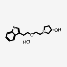 Cl.O[C@@H]1CCN(CCOCCc2csc3ccccc23)C1